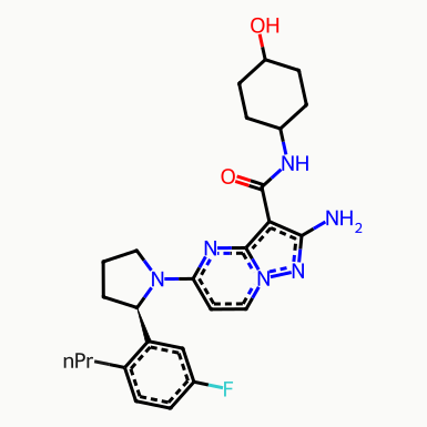 CCCc1ccc(F)cc1[C@H]1CCCN1c1ccn2nc(N)c(C(=O)NC3CCC(O)CC3)c2n1